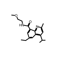 CCc1cc(C(=O)NCCOC)c2nc(C)cc(C(C)C)c2c1